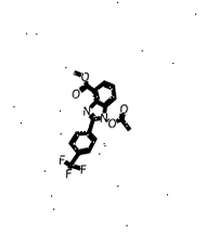 COC(=O)c1cccc2c1nc(-c1ccc(C(F)(F)F)cc1)n2OC(C)=O